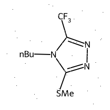 CCCCn1c(SC)nnc1C(F)(F)F